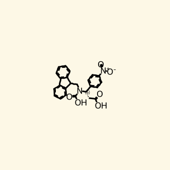 O=C(O)C[C@@H](c1ccc([N+](=O)[O-])cc1)N(CC1c2ccccc2-c2ccccc21)C(=O)O